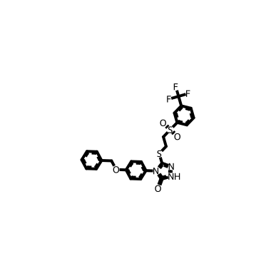 O=c1[nH]nc(SCCS(=O)(=O)c2cccc(C(F)(F)F)c2)n1-c1ccc(OCc2ccccc2)cc1